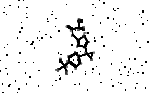 C=C(Cc1nc(C2(c3ccc(C(F)(F)F)cc3)CC2)co1)C(=O)O